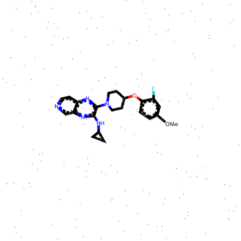 COc1ccc(OC2CCN(c3nc4ccncc4nc3NC3CC3)CC2)c(F)c1